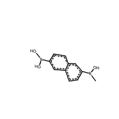 CB(O)c1ccc2cc(B(O)O)ccc2c1